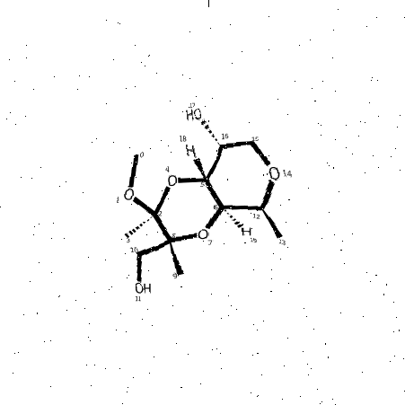 CO[C@@]1(C)O[C@H]2[C@H](O[C@]1(C)CO)[C@H](C)OC[C@H]2O